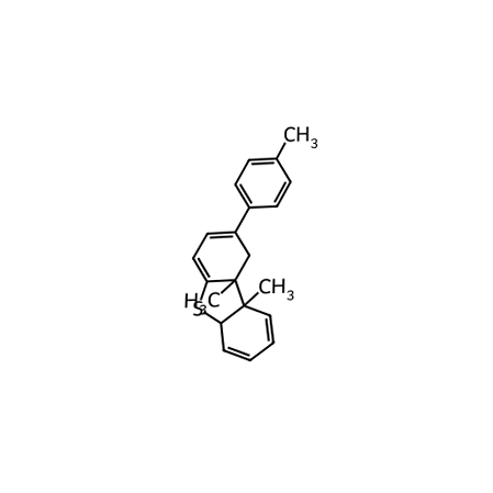 Cc1ccc(C2=CC=C3SC4C=CC=CC4(C)C3(C)C2)cc1